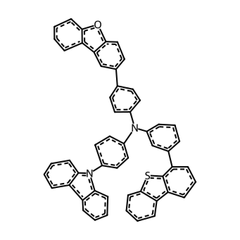 c1cc(-c2cccc3c2sc2ccccc23)cc(N(c2ccc(-c3ccc4oc5ccccc5c4c3)cc2)c2ccc(-n3c4ccccc4c4ccccc43)cc2)c1